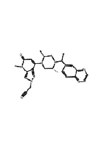 CC(c1ccc2nccnc2c1)N1C[C@H](C)N(c2cc(=O)n(C)c3cn(CC#N)nc23)C[C@H]1C